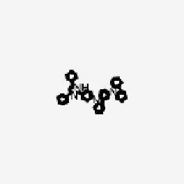 C1=C(c2ccccc2)NC(c2ccc(-n3c4ccccc4c4cc(-n5c6ccccc6c6ccccc65)ccc43)cc2)N=C1c1ccccc1